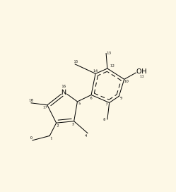 CCC1=C(C)C(c2c(C)cc(O)c(C)c2C)N=C1C